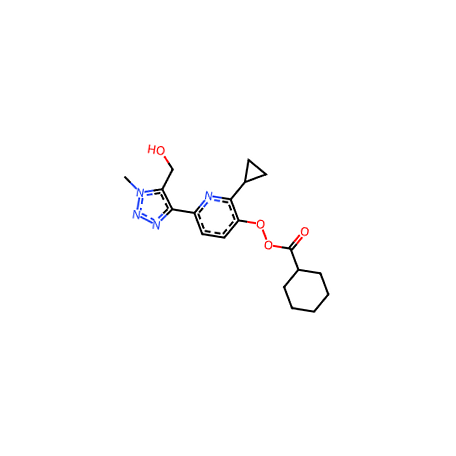 Cn1nnc(-c2ccc(OOC(=O)C3CCCCC3)c(C3CC3)n2)c1CO